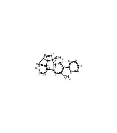 Cc1cc2[n+](cc1-c1ccccc1)C1(C)C=CC13Cc1cccc-2c13